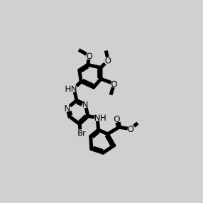 COC(=O)c1ccccc1Nc1nc(Nc2cc(OC)c(OC)c(OC)c2)ncc1Br